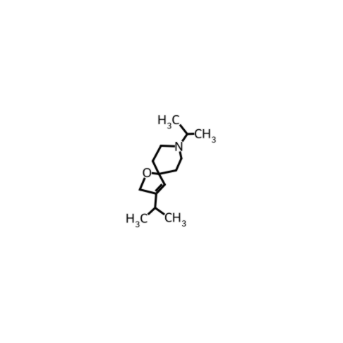 CC(C)C1=CC2(CCN(C(C)C)CC2)OC1